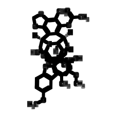 COc1ccc2oc3c(c2c1)CCN[C@]31CS[C@@H]2c3c(OC(C)=O)c(C)c4c(c3[C@H](COC1=O)N1[C@@H]2[C@@H]2c3c(cc(C)c(OC)c3O)CC1(O)CN2C)OCO4